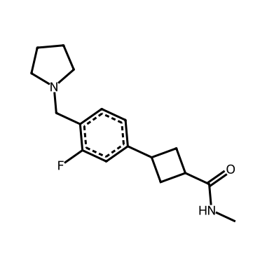 CNC(=O)C1CC(c2ccc(CN3CCCC3)c(F)c2)C1